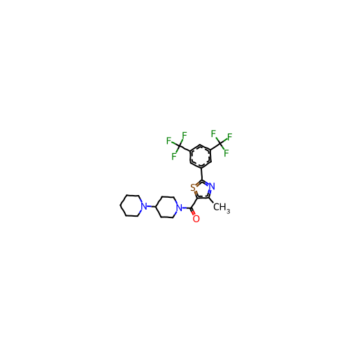 Cc1nc(-c2cc(C(F)(F)F)cc(C(F)(F)F)c2)sc1C(=O)N1CCC(N2CCCCC2)CC1